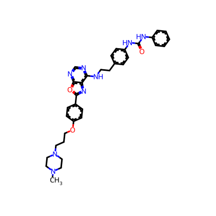 CN1CCN(CCCOc2ccc(-c3nc4c(NCCc5ccc(NC(=O)Nc6ccccc6)cc5)ncnc4o3)cc2)CC1